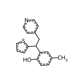 Cc1ccc(O)c(C(Cc2ccncc2)c2cccs2)c1